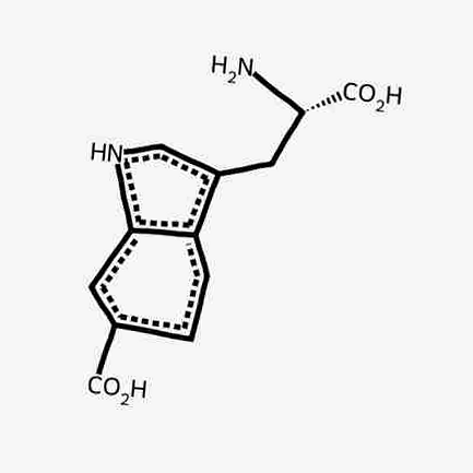 N[C@@H](Cc1c[nH]c2cc(C(=O)O)ccc12)C(=O)O